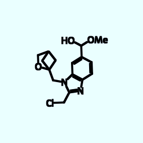 COC(O)c1ccc2nc(CCl)n(CC34CC(CO3)C4)c2c1